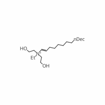 CCCCCCCCCCCCCCCCC=C[N+](CC)(CCO)CCO